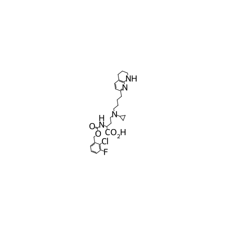 O=C(NC(CCN(CCCCc1ccc2c(n1)NCCC2)C1CC1)C(=O)O)OCc1cccc(F)c1Cl